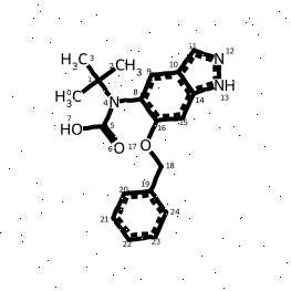 CC(C)(C)N(C(=O)O)c1cc2cn[nH]c2cc1OCc1ccccc1